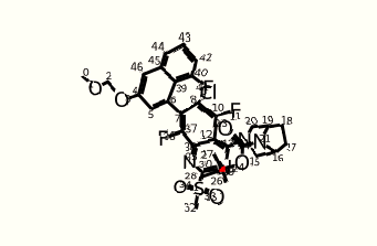 COCOc1cc(-c2c(Cl)c(F)c3c(N4CC5CCC(C4)N5C(=O)OC(C)(C)C)nc(S(C)(=O)=O)nc3c2F)c2c(F)cccc2c1